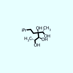 CC(C)CC[C@](O)([C@H](C)O)[C@@H](O)[C@@H](C)O